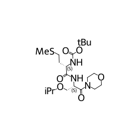 CSCC[C@H](NC(=O)OC(C)(C)C)C(=O)N[C@@H](COC(C)C)C(=O)N1CCOCC1